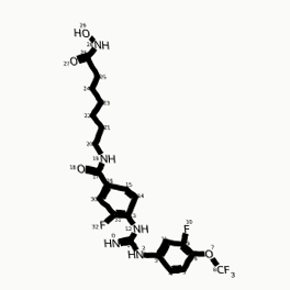 N=C(Nc1ccc(OC(F)(F)F)c(F)c1)Nc1ccc(C(=O)NCCCCCCC(=O)NO)cc1F